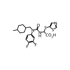 CC1CCC(CN(C(=O)NC(Sc2cncs2)C(=O)O)c2ccc(F)c(F)c2)CC1